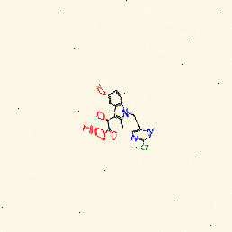 COc1ccc2c(c1)c(C(=O)C(=O)O)c(C)n2Cc1cnc(Cl)cn1